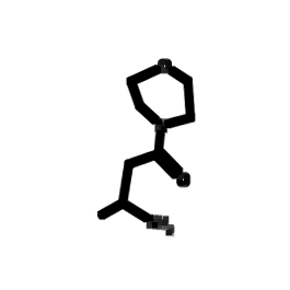 CC(N)CC(=O)N1CCOCC1